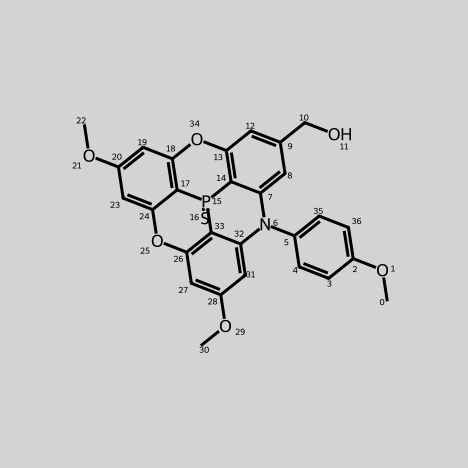 COc1ccc(N2c3cc(CO)cc4c3P3(=S)c5c(cc(OC)cc5Oc5cc(OC)cc2c53)O4)cc1